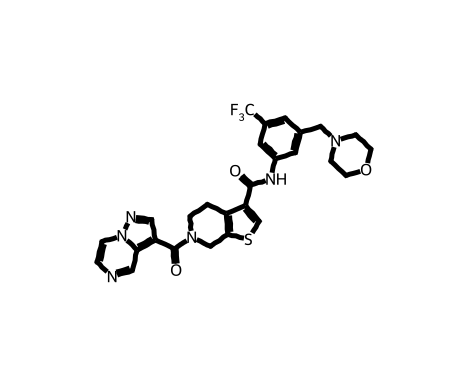 O=C(Nc1cc(CN2CCOCC2)cc(C(F)(F)F)c1)c1csc2c1CCN(C(=O)c1cnn3ccncc13)C2